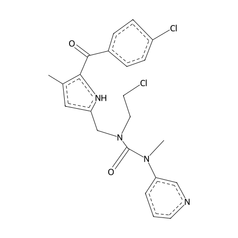 Cc1cc(CN(CCCl)C(=O)N(C)c2cccnc2)[nH]c1C(=O)c1ccc(Cl)cc1